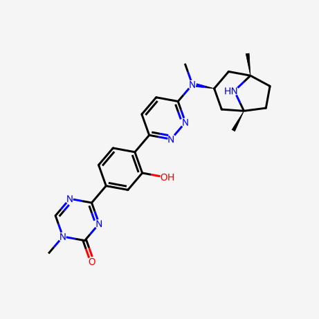 CN(c1ccc(-c2ccc(-c3ncn(C)c(=O)n3)cc2O)nn1)[C@H]1C[C@]2(C)CC[C@](C)(C1)N2